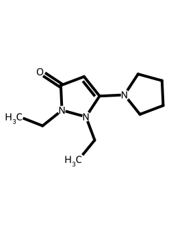 CCn1c(N2CCCC2)cc(=O)n1CC